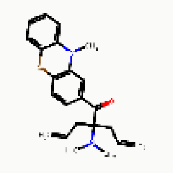 C=CCC(CC=C)(C(=O)c1ccc2c(c1)N(C)c1ccccc1S2)N(C)C